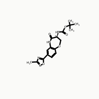 Cc1noc(-c2ccc3c(c2)NC(=O)[C@@H](NC(=O)OC(C)(C)C)CO3)n1